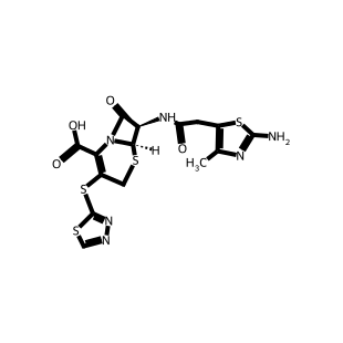 Cc1nc(N)sc1CC(=O)N[C@@H]1C(=O)N2C(C(=O)O)=C(Sc3nncs3)CS[C@H]12